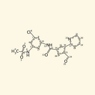 CS(=O)(=O)Nc1cc(Cl)cc(NC(=O)c2cc(-c3ccccn3)c(C=O)s2)c1